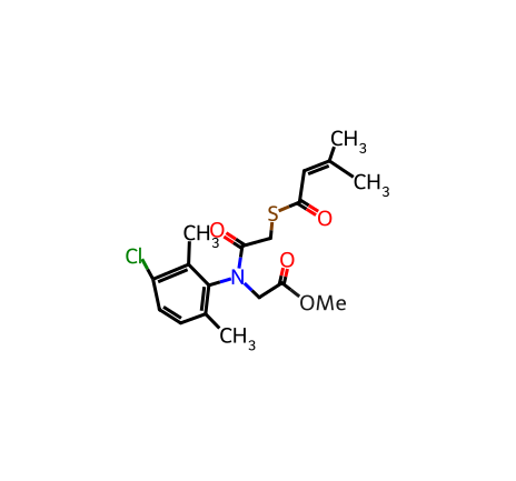 COC(=O)CN(C(=O)CSC(=O)C=C(C)C)c1c(C)ccc(Cl)c1C